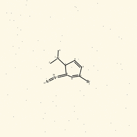 CN(C)C1C=CC(Br)=CC1=[N+]=[N-]